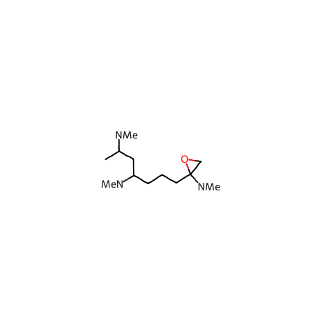 CNC(C)CC(CCCC1(NC)CO1)NC